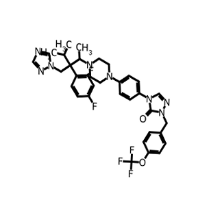 CC(C)C(Cn1cncn1)(c1ccc(F)cc1F)C(C)N1CCN(c2ccc(-n3cnn(Cc4ccc(OC(F)(F)F)cc4)c3=O)cc2)CC1